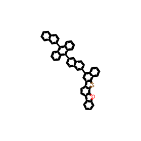 c1ccc2cc(-c3c4ccccc4c(-c4ccc5cc(-c6cc7c8ccc9c%10ccccc%10oc9c8sc7c7ccccc67)ccc5c4)c4ccccc34)ccc2c1